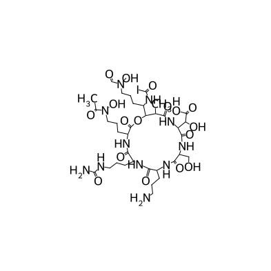 CC(=O)N(O)CCCC1NC(=O)C(CCCNC(N)=O)NC(=O)C(CCCN)NC(=O)C(CO)NC(=O)C(C(O)C(=O)O)NC(=O)C(C)C(C(CCCN(O)C=O)NC(=O)I)OC1=O